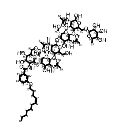 CCCCCC/C=C\CCCOc1cccc(C(=O)N[C@@H]2C(O[C@H]3C(O)C(NC(C)=O)[C@H](OC4C(CO)O[C@@H](O[C@H]5C(O)C(NC(C)=O)[C@H](OC6C(CO[C@@H]7OC(C)C(O)[C@H](O)[C@H]7O)OC(O)[C@@H](NC(C)=O)[C@H]6O)O[C@H]5CO)[C@@H](NC(C)=O)[C@H]4O)O[C@H]3CO)OC(CO)[C@@H](O)[C@@H]2O)c1